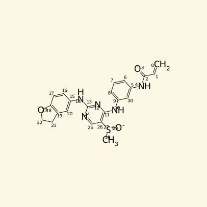 C=CC(=O)Nc1cccc(Nc2nc(Nc3ccc4c(c3)CCO4)ncc2[S+](C)[O-])c1